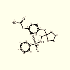 O=C(O)Cc1ccc(CC2(CNS(=O)(=O)c3ccccc3)CCCC2)cc1